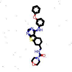 O=C(NCC1CCc2c(sc3ncnc(Nc4cccc(Oc5ccccc5)c4)c23)C1)N1CCOCC1